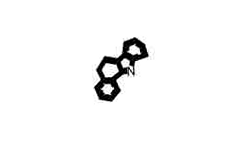 C1=C2C(=Nc3ccccc32)c2ccccc2C1